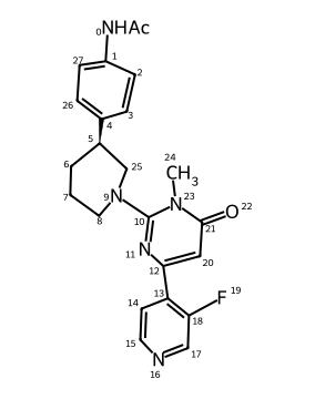 CC(=O)Nc1ccc([C@@H]2CCCN(c3nc(-c4ccncc4F)cc(=O)n3C)C2)cc1